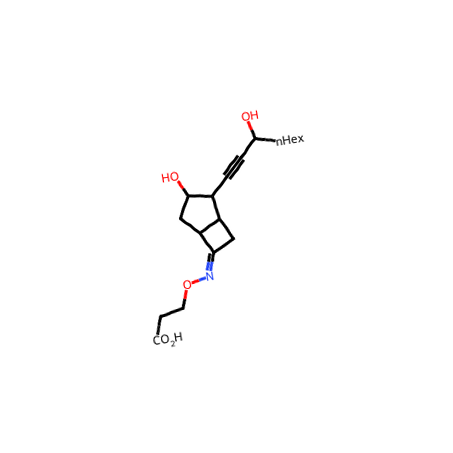 CCCCCCC(O)C#CC1C(O)CC2C(=NOCCC(=O)O)CC21